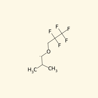 CC(C)[CH]OCC(F)(F)C(F)(F)F